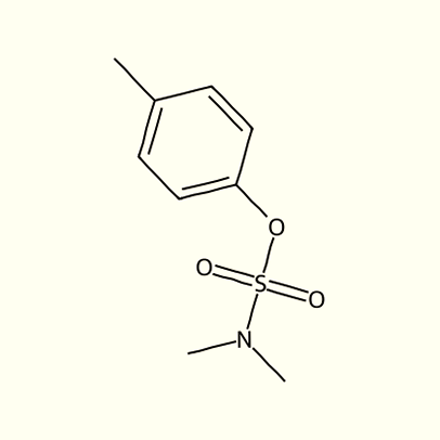 Cc1ccc(OS(=O)(=O)N(C)C)cc1